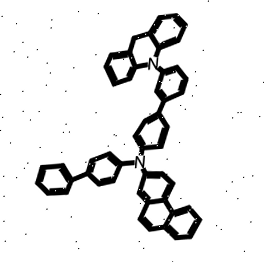 c1ccc(-c2ccc(N(c3ccc(-c4cccc(N5c6ccccc6Cc6ccccc65)c4)cc3)c3ccc4c(ccc5ccccc54)c3)cc2)cc1